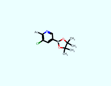 CC(=O)c1ncc(B2OC(C)(C)C(C)(C)O2)cc1Cl